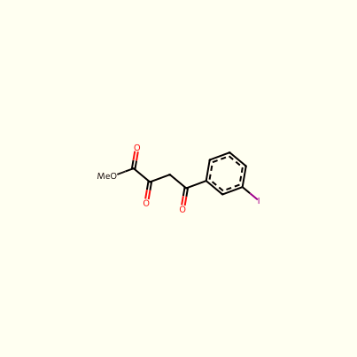 COC(=O)C(=O)CC(=O)c1cccc(I)c1